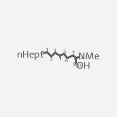 CCCCCCCCCCCCCCC(CO)NC